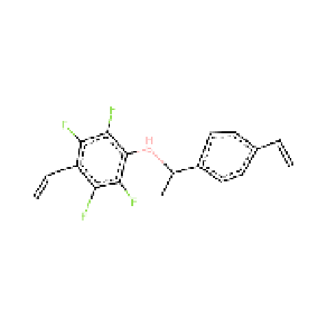 C=Cc1ccc(C(C)Bc2c(F)c(F)c(C=C)c(F)c2F)cc1